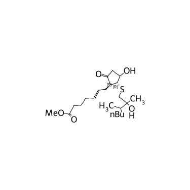 CCCCC(C)C(C)(O)CS[C@H]1C(O)CC(=O)[C@@H]1CC=CCCCC(=O)OC